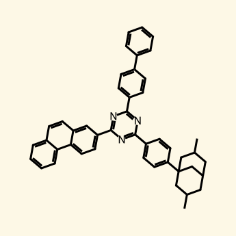 CC1CC2CC(C)CC(c3ccc(-c4nc(-c5ccc(-c6ccccc6)cc5)nc(-c5ccc6c(ccc7ccccc76)c5)n4)cc3)(C1)C2